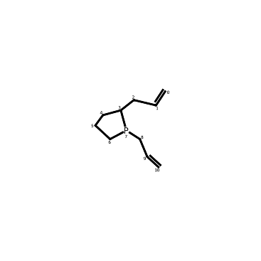 C=CCC1CCCP1CC=C